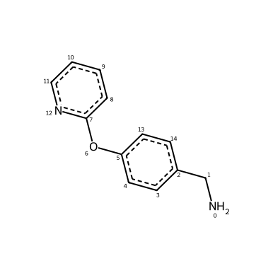 NCc1ccc(Oc2ccccn2)cc1